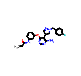 C=CC(=O)Nc1cccc(Oc2ncnc(N)c2C2C=NN(Cc3ccc(F)cc3)C2)c1